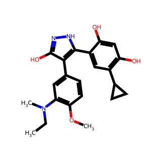 CCN(C)c1cc(-c2c(O)n[nH]c2-c2cc(C3CC3)c(O)cc2O)ccc1OC